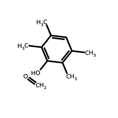 C=O.Cc1cc(C)c(C)c(O)c1C